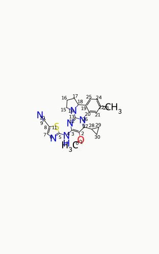 COc1c(Nc2ncc(C#N)s2)nc(N2CCCC2c2ccc(C)cc2)nc1C1CC1